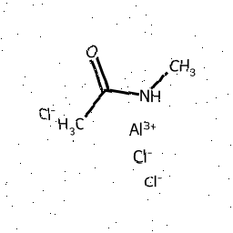 CNC(C)=O.[Al+3].[Cl-].[Cl-].[Cl-]